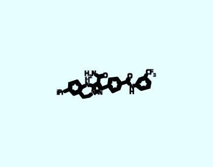 CC(C)c1ccc2c(c1)CCn1nc(-c3ccc(C(=O)Nc4cccc(C(F)(F)F)c4)cc3)c(C(N)=O)c1N2